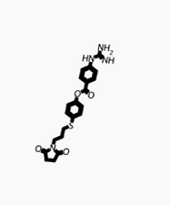 N=C(N)Nc1ccc(C(=O)Oc2ccc(SCCCN3C(=O)CCC3=O)cc2)cc1